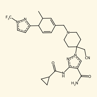 CC1C=C(CN2CCC(CC#N)(n3cc(C(N)=O)c(NC(=O)C4CC4)n3)CC2)C=CC1c1ccn(C(F)(F)F)n1